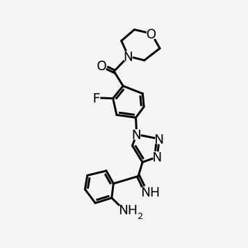 N=C(c1cn(-c2ccc(C(=O)N3CCOCC3)c(F)c2)nn1)c1ccccc1N